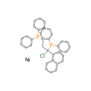 ClC(CCP(c1ccccc1)c1ccccc1)(c1cccc2ccccc12)P(c1ccccc1)c1ccccc1.[Ni]